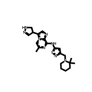 Cc1cn2c(C3C=NNC3)cnc2c(Nc2cc(CN3CCCCC3(C)C)ns2)n1